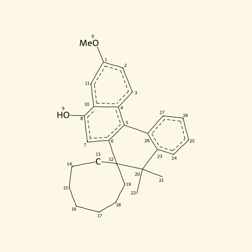 COc1ccc2c3c(cc(O)c2c1)C1(CCCCCCC1)C(C)(C)c1ccccc1-3